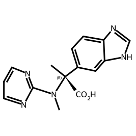 CN(c1ncccn1)[C@@](C)(C(=O)O)c1ccc2nc[nH]c2c1